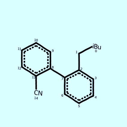 CCC(C)Cc1ccccc1-c1ccccc1C#N